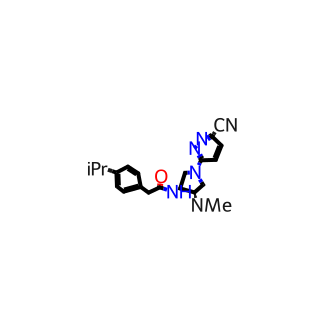 CN[C@@H]1CN(c2ccc(C#N)nn2)C[C@H]1NC(=O)Cc1ccc(C(C)C)cc1